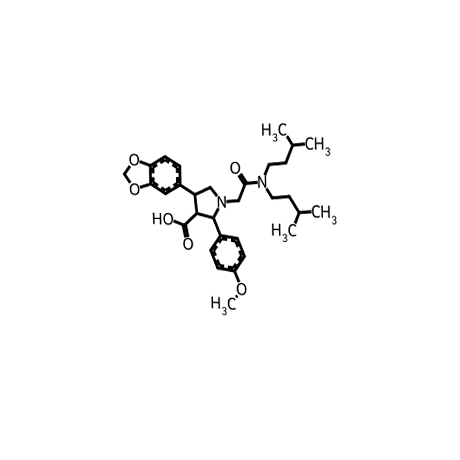 COc1ccc(C2C(C(=O)O)C(c3ccc4c(c3)OCO4)CN2CC(=O)N(CCC(C)C)CCC(C)C)cc1